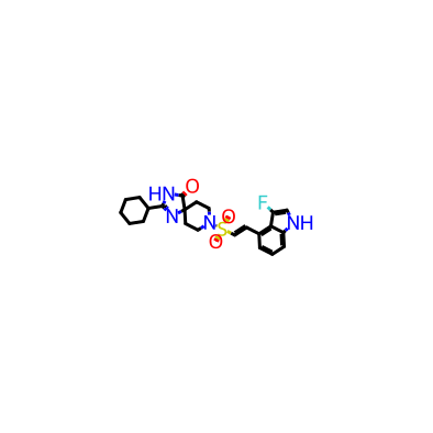 O=C1NC(C2CCCCC2)=NC12CCN(S(=O)(=O)/C=C/c1cccc3[nH]cc(F)c13)CC2